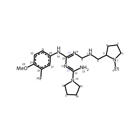 CCN1CCCC1CNC/N=C(\N=C(/N)N1CCCC1)Nc1ccc(OC)c(F)c1